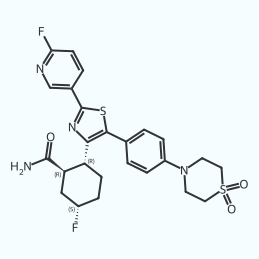 NC(=O)[C@@H]1C[C@@H](F)CC[C@H]1c1nc(-c2ccc(F)nc2)sc1-c1ccc(N2CCS(=O)(=O)CC2)cc1